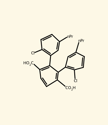 CCCc1ccc(Cl)c(-c2c(C(=O)O)ccc(C(=O)O)c2-c2cc(CCC)ccc2Cl)c1